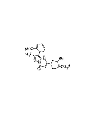 COc1ccccc1-c1c(C)nn2c(=O)cc(C3CCN(C(=O)O)C(C(C)(C)C)C3)[nH]c12